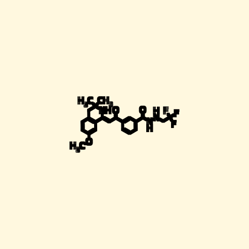 COc1ccc2c(c1)C(=CC(=O)c1cccc(C(=O)NNCC(F)(F)F)c1)NC(C)(C)C2